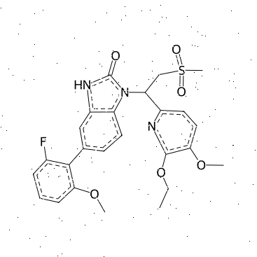 CCOc1nc(C(CS(C)(=O)=O)n2c(=O)[nH]c3cc(-c4c(F)cccc4OC)ccc32)ccc1OC